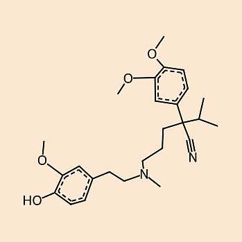 COc1cc(CCN(C)CCCC(C#N)(c2ccc(OC)c(OC)c2)C(C)C)ccc1O